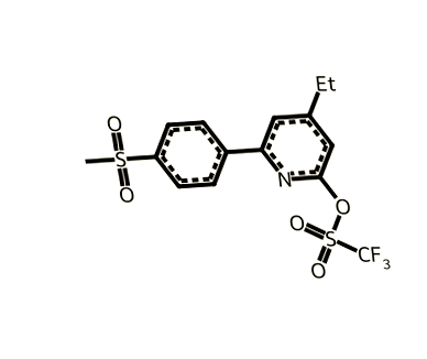 CCc1cc(OS(=O)(=O)C(F)(F)F)nc(-c2ccc(S(C)(=O)=O)cc2)c1